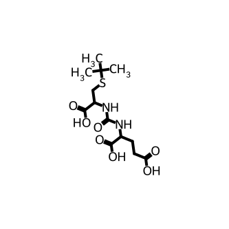 CC(C)(C)SCC(NC(=O)NC(CCC(=O)O)C(=O)O)C(=O)O